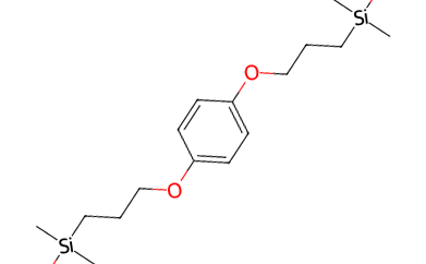 C[Si](C)(O)CCCOc1ccc(OCCC[Si](C)(C)O)cc1